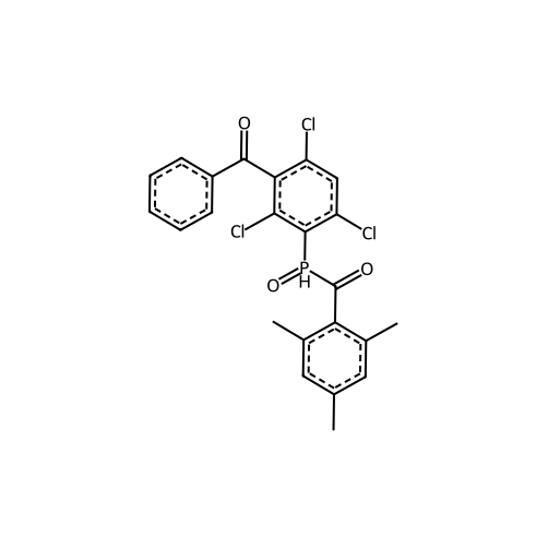 Cc1cc(C)c(C(=O)[PH](=O)c2c(Cl)cc(Cl)c(C(=O)c3ccccc3)c2Cl)c(C)c1